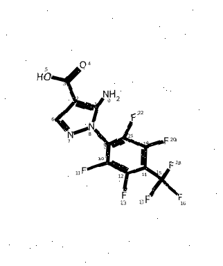 Nc1c(C(=O)O)cnn1-c1c(F)c(F)c(C(F)(F)F)c(F)c1F